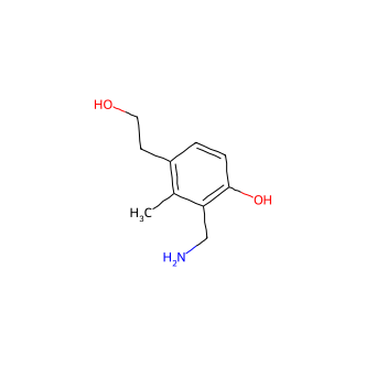 Cc1c(CCO)ccc(O)c1CN